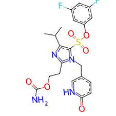 CC(C)c1nc(CCOC(N)=O)n(Cc2ccc(=O)[nH]c2)c1S(=O)(=O)Oc1cc(F)cc(F)c1